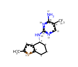 Cc1cc2c(s1)CCC[C@H]2Nc1ncc(C(F)(F)F)c(N)n1